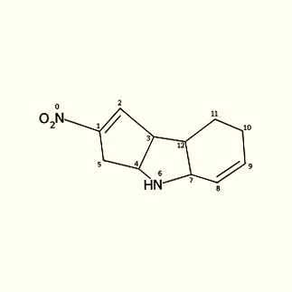 O=[N+]([O-])C1=CC2C(C1)NC1C=CCCC12